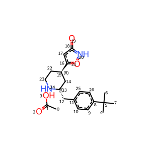 CC(=O)O.CC(C)(C)c1ccc(C[C@H]2C[C@H](c3cc(=O)[nH]o3)CCN2)cc1